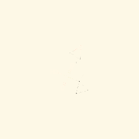 O=S(=O)(O)C1(C[C@@H]2CO2)CC1